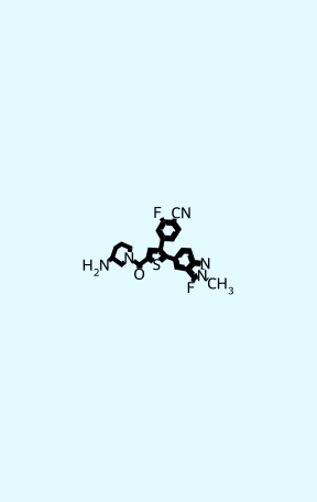 Cn1nc2ccc(-c3sc(C(=O)N4CCCC(N)C4)cc3-c3ccc(C#N)c(F)c3)cc2c1F